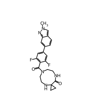 Cn1cc2ccc(-c3cc(F)c(C(=O)N4CCNC(=O)C5(CC5)NCC4)c(F)c3)cc2n1